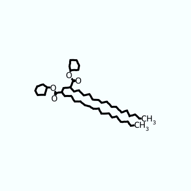 CCCCCCCCCCCCCCCCC(CC(CCCCCCCCCCCCCCCC)C(=O)OC1CCCCC1)C(=O)OC1CCCCC1